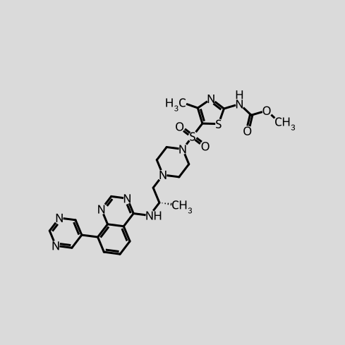 COC(=O)Nc1nc(C)c(S(=O)(=O)N2CCN(C[C@H](C)Nc3ncnc4c(-c5cncnc5)cccc34)CC2)s1